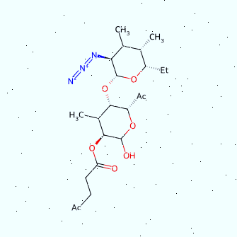 CC[C@@H]1O[C@H](O[C@H]2C(C)[C@H](OC(=O)CCC(C)=O)C(O)O[C@H]2C(C)=O)[C@@H](N=[N+]=[N-])C(C)[C@@H]1C